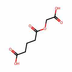 O=C(O)CCCC(=O)OCC(=O)O